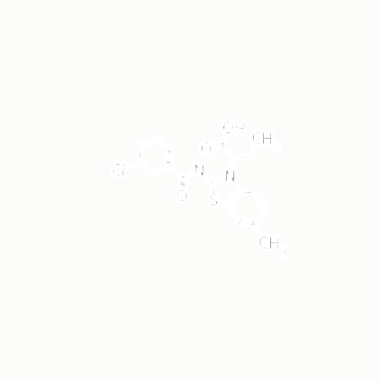 CCC(C(=O)O)n1/c(=N/C(=O)c2cccc(Cl)c2)sc2cc(C)ccc21